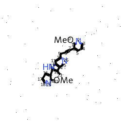 COc1ncccc1C#CCc1cc2[nH]c(-c3cccnc3OC)c(C)c2cn1